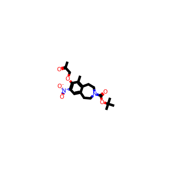 CC(=O)COc1c([N+](=O)[O-])cc2c(c1C)CCN(C(=O)OC(C)(C)C)CC2